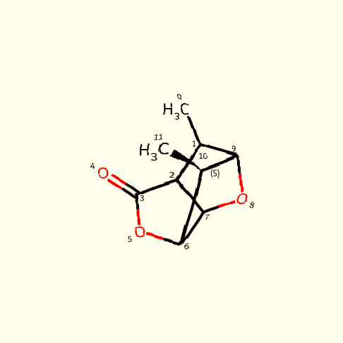 CC1C2C(=O)OC3C2OC1[C@@H]3C